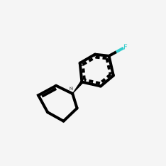 Fc1ccc([C@@H]2C=CCCC2)cc1